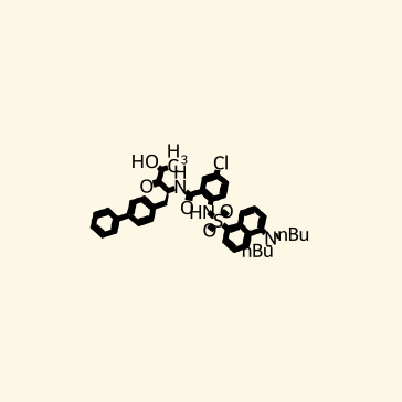 CCCCN(CCCC)c1cccc2c(S(=O)(=O)Nc3ccc(Cl)cc3C(=O)N[C@@H](Cc3ccc(-c4ccccc4)cc3)C(=O)C(C)O)cccc12